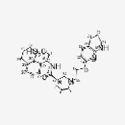 O=C(O)C[C@@H](NC(=O)[C@@H]1CCCN(CCCc2ccc3c(n2)NCCC3)C1)c1cccc2c1CCCC2